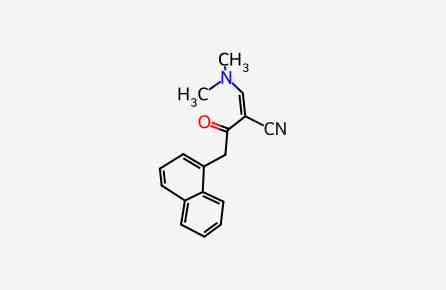 CN(C)/C=C(/C#N)C(=O)Cc1cccc2ccccc12